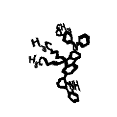 CCCCCC1(CCCCC)c2cc(-c3cccc4c3[nH]c3ccccc34)ccc2-c2ccc(N(c3ccccc3)c3ccc(OC)cc3)cc21